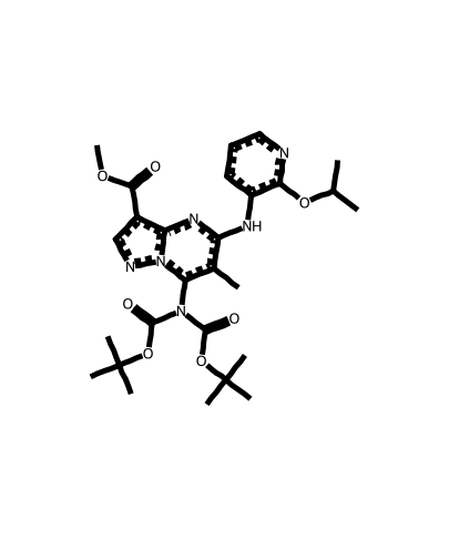 COC(=O)c1cnn2c(N(C(=O)OC(C)(C)C)C(=O)OC(C)(C)C)c(C)c(Nc3cccnc3OC(C)C)nc12